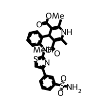 COC(=O)C1=C(C)NC(C)=C(C(=O)OC)C1c1ccccc1Nc1nc(-c2cccc(S(N)(=O)=O)c2)cs1